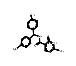 Cc1ccc(C(NC(=O)c2cnc(C(F)(F)F)[nH]c2=O)c2ccc(C)cc2)cc1